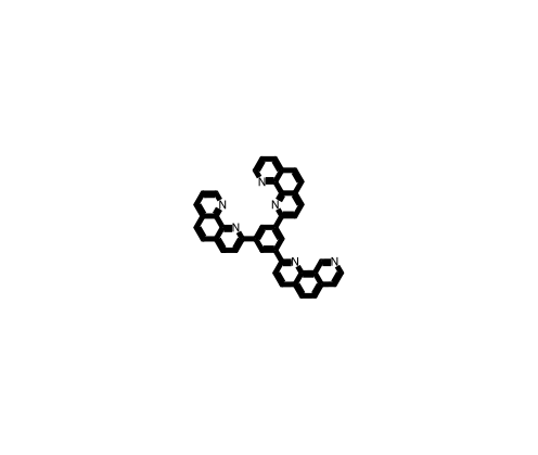 c1cnc2c(c1)ccc1ccc(-c3cc(-c4ccc5ccc6ccncc6c5n4)cc(-c4ccc5ccc6cccnc6c5n4)c3)nc12